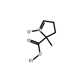 CCOC(=O)C1(C)CCC=[N+]1[O-]